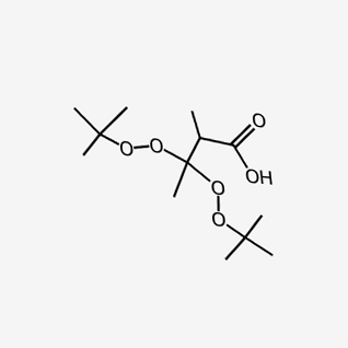 CC(C(=O)O)C(C)(OOC(C)(C)C)OOC(C)(C)C